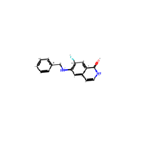 O=c1[nH]ccc2cc(NCc3ccccc3)c(F)cc12